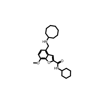 COc1ccc(CNC2CCCCCCC2)c2cc(C(=O)NC3CCCCC3)oc12